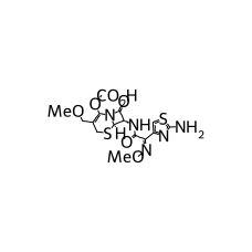 COCC1=C(OC(=O)O)N2C(=O)[C@@H](NC(=O)/C(=N\OC)c3csc(N)n3)[C@H]2SC1